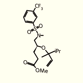 C=CC(C)(O[C@@H](CCC(=O)OC)CN(C)S(=O)(=O)c1cccc(C(F)(F)F)c1)C(C)C